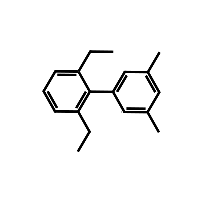 CCc1cccc(CC)c1-c1[c]c(C)cc(C)c1